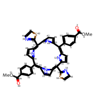 COC(=O)c1ccc(/C2=C3\C=CC(=N3)/C(c3nccs3)=c3/cc/c([nH]3)=C(\c3ccc(C(=O)OC)cc3)C3=N/C(=C(/c4nccs4)C4=NC2=CC4)C=C3)cc1